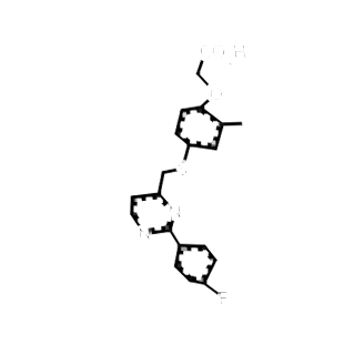 Cc1cc(SCc2ccnc(-c3ccc(F)cc3)n2)ccc1OCC(=O)O